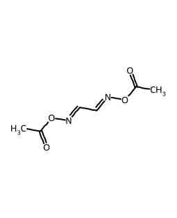 CC(=O)ON=CC=NOC(C)=O